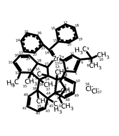 CCCCC1C=C(C(C)(C)C)C=[C]1[Zr+2](=[C](c1ccccc1)c1ccccc1)[CH]1C2C=CC=C(C)C2(C)C2(C)C3(C)C=CC=CC3(C)C3(C)C=CC=CC3(C)C12C.[Cl-].[Cl-]